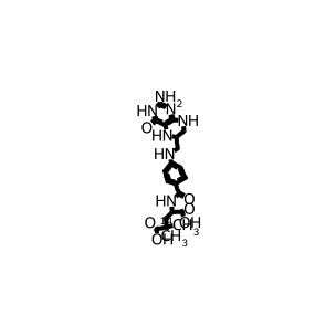 CC([14CH3])(CC(NC(=O)c1ccc(NCC2CNc3nc(N)[nH]c(=O)c3N2)cc1)C(=O)O)C(=O)O